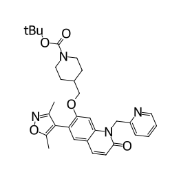 Cc1noc(C)c1-c1cc2ccc(=O)n(Cc3ccccn3)c2cc1OCC1CCN(C(=O)OC(C)(C)C)CC1